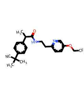 CC(C(=O)NCCc1ccc(OCC(F)(F)F)cn1)c1ccc(C(C)(C)C#N)cc1